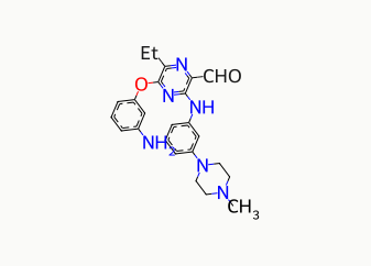 CCc1nc(C=O)c(Nc2cccc(N3CCN(C)CC3)c2)nc1Oc1cccc(N)c1